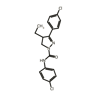 CCC1CN(C(=O)Nc2ccc(Cl)cc2)N=C1c1ccc(Cl)cc1